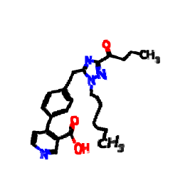 CCCCCn1nc(C(=O)CCC)nc1Cc1ccc(-c2ccncc2C(=O)O)cc1